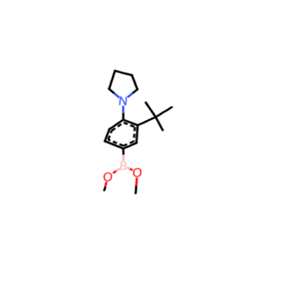 COB(OC)c1ccc(N2CCCC2)c(C(C)(C)C)c1